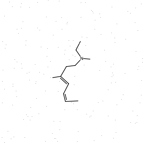 C/C=C\C=C(/C)CCN(C)CC